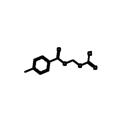 Cc1ccc(C(=O)OCOC(=O)Cl)cc1